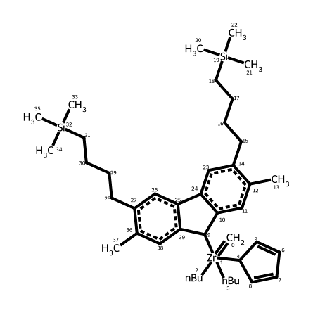 [CH2]=[Zr]([CH2]CCC)([CH2]CCC)([CH]1C=CC=C1)[CH]1c2cc(C)c(CCCC[Si](C)(C)C)cc2-c2cc(CCCC[Si](C)(C)C)c(C)cc21